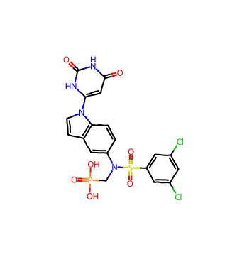 O=c1cc(-n2ccc3cc(N(CP(=O)(O)O)S(=O)(=O)c4cc(Cl)cc(Cl)c4)ccc32)[nH]c(=O)[nH]1